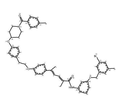 C/C(=C\C=C(/C)c1ccc(OCCc2ccc(OC3CCN(C(=O)c4ccc(C)cc4)CC3)cc2)cc1)C(=O)Nc1cccc(OCc2cc(C)cc(Br)c2)c1